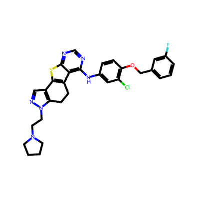 Fc1cccc(COc2ccc(Nc3ncnc4sc5c(c34)CCc3c-5cnn3CCN3CCCC3)cc2Cl)c1